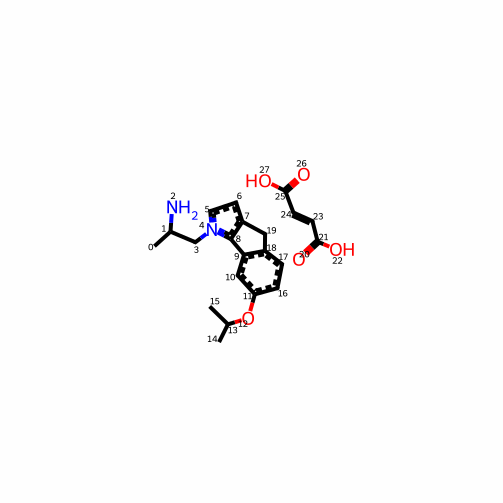 CC(N)Cn1ccc2c1-c1cc(OC(C)C)ccc1C2.O=C(O)C=CC(=O)O